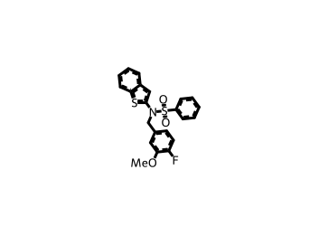 COc1cc(CN(c2cc3ccccc3s2)S(=O)(=O)c2ccccc2)ccc1F